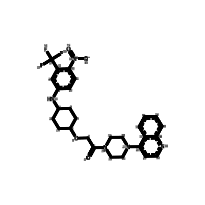 O=C(COC1CCC(Nc2ccc([N+](=O)[O-])c(C(F)(F)F)c2)CC1)N1CCN(c2ccnc3ccccc23)CC1